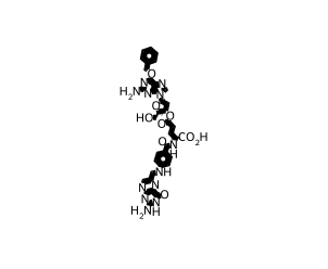 Nc1nc(OCc2ccccc2)c2ncn([C@H]3CC(OC(=O)CC[C@H](NC(=O)c4ccc(NCc5cnc6nc(N)[nH]c(=O)c6n5)cc4)C(=O)O)[C@@H](CO)O3)c2n1